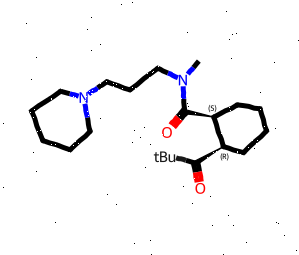 CN(CCCN1CCCCC1)C(=O)[C@H]1CCCC[C@H]1C(=O)C(C)(C)C